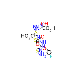 Nc1nc(C(=NOCc2ccc(F)cc2)C(=O)NC2C(=O)N3CC(CSc4nnnn4CC(=NO)C(=O)O)(C(=O)O)CS[C@H]23)cs1